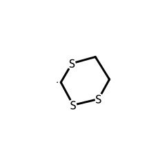 [CH]1SCCSS1